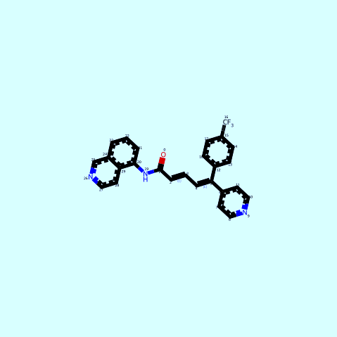 O=C(/C=C/C=C(/c1ccncc1)c1ccc(C(F)(F)F)cc1)Nc1cccc2cnccc12